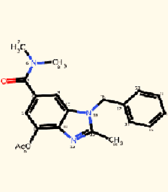 CC(=O)Oc1cc(C(=O)N(C)C)cc2c1nc(C)n2Cc1ccccc1